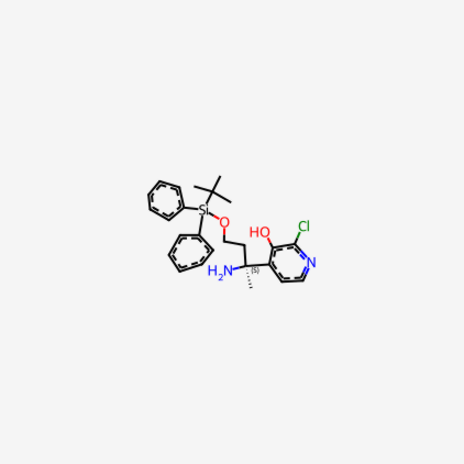 CC(C)(C)[Si](OCC[C@](C)(N)c1ccnc(Cl)c1O)(c1ccccc1)c1ccccc1